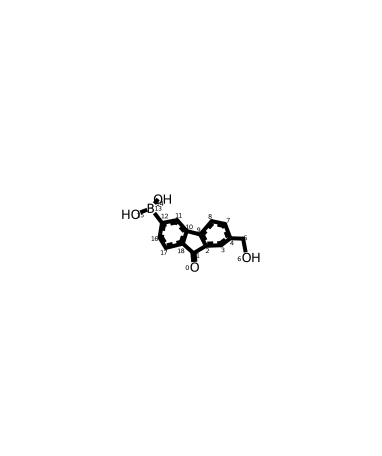 O=C1c2cc(CO)ccc2-c2cc(B(O)O)ccc21